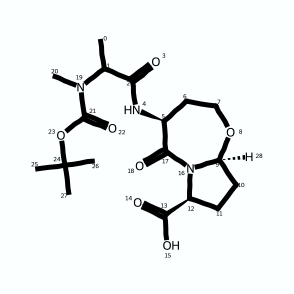 CC(C(=O)N[C@H]1CCO[C@H]2CC[C@@H](C(=O)O)N2C1=O)N(C)C(=O)OC(C)(C)C